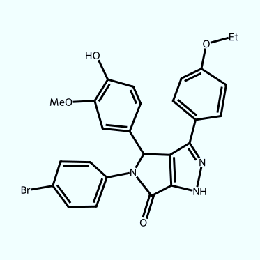 CCOc1ccc(-c2n[nH]c3c2C(c2ccc(O)c(OC)c2)N(c2ccc(Br)cc2)C3=O)cc1